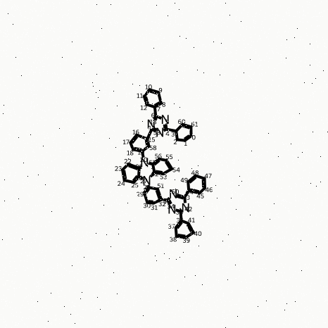 C1=CCC(c2nc(-c3ccccc3)nc(-c3cccc(N4c5ccccc5N(c5cccc(-c6nc(-c7ccccc7)nc(-c7ccccc7)n6)c5)c5ccccc54)c3)n2)C=C1